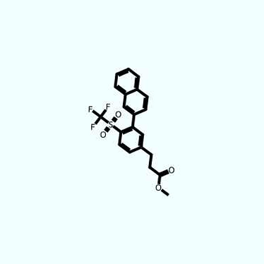 COC(=O)CCc1ccc(S(=O)(=O)C(F)(F)F)c(-c2ccc3ccccc3c2)c1